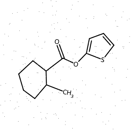 CC1CCCCC1C(=O)Oc1cccs1